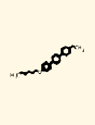 CCCCCCOc1ccc(C2CCC(C3CCC(CC)CC3)CC2)cc1